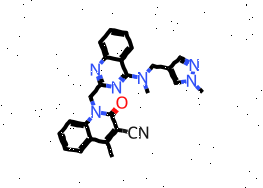 Cc1c(C#N)c(=O)n(Cc2nc(N(C)Cc3cnn(C)c3)c3ccccc3n2)c2ccccc12